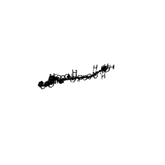 Cc1cc(Oc2ccccc2)ccc1N1C(=O)Nc2c(C(=O)NC3CCCN(C(=O)/C=C/CC(CCC(=O)NCCCOCCOCCOCCCNC(=O)CCCC[C@H]4SC[C@@H]5NC(=O)N[C@@H]54)C(N)=O)C3)sc3nccc1c23